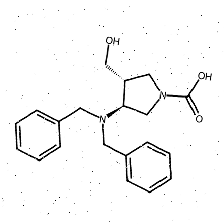 O=C(O)N1C[C@@H](CO)[C@H](N(Cc2ccccc2)Cc2ccccc2)C1